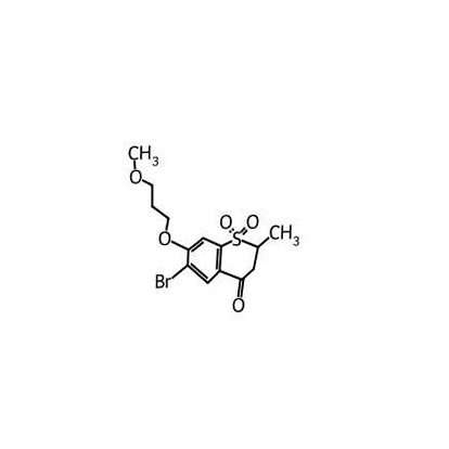 COCCCOc1cc2c(cc1Br)C(=O)CC(C)S2(=O)=O